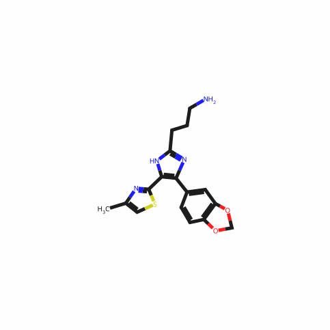 Cc1csc(-c2[nH]c(CCCN)nc2-c2ccc3c(c2)OCO3)n1